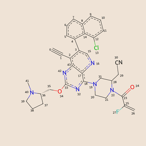 C#Cc1c(-c2cccc3cccc(Cl)c23)cnc2c(N3CCN(C(=O)C(=C)F)C(CC#N)C3)nc(OC[C@@H]3CCCN3C)nc12